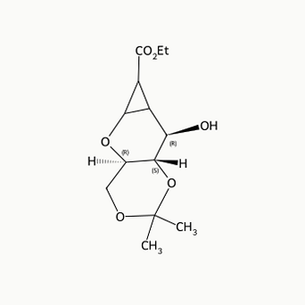 CCOC(=O)C1C2O[C@@H]3COC(C)(C)O[C@H]3[C@H](O)C21